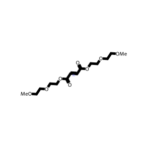 COCCOCCOC(=O)/C=C/C(=O)OCCOCCOC